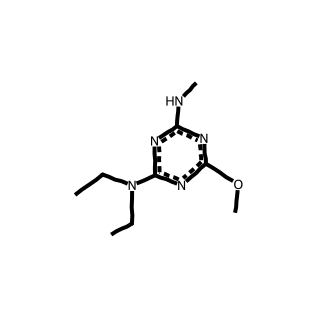 CCN(CC)c1nc(NC)nc(OC)n1